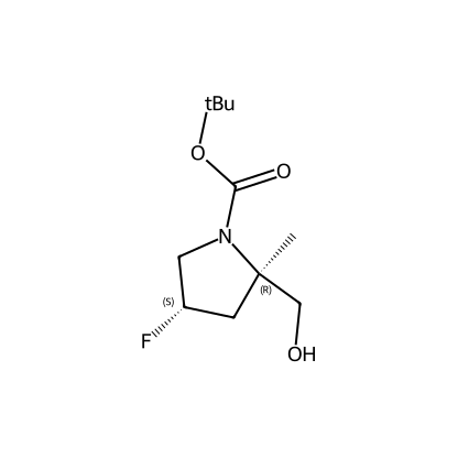 CC(C)(C)OC(=O)N1C[C@@H](F)C[C@]1(C)CO